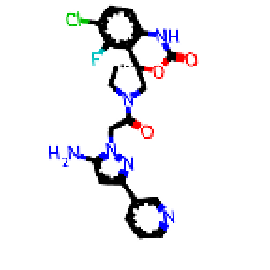 Nc1cc(-c2cccnc2)nn1CC(=O)N1CC[C@@]2(C1)OC(=O)Nc1ccc(Cl)c(F)c12